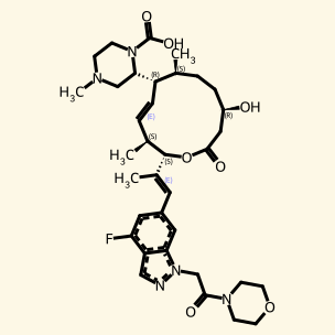 C/C(=C\c1cc(F)c2cnn(CC(=O)N3CCOCC3)c2c1)[C@H]1OC(=O)C[C@H](O)CC[C@H](C)[C@@H](C2CN(C)CCN2C(=O)O)/C=C/[C@@H]1C